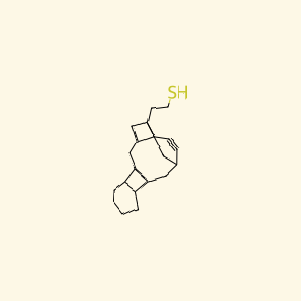 SCCC12CC3C#CC1C(CC1C4CCCCC4C1C3)C2